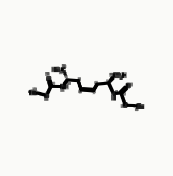 CC(C)(C)OC(=O)N[C@@H](C/C=C\C[C@H](NC(=O)OC(C)(C)C)C(=O)O)C(=O)O